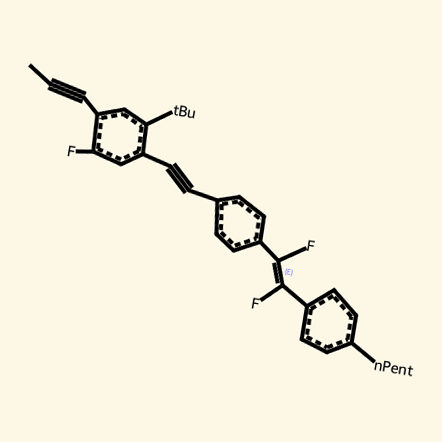 CC#Cc1cc(C(C)(C)C)c(C#Cc2ccc(/C(F)=C(\F)c3ccc(CCCCC)cc3)cc2)cc1F